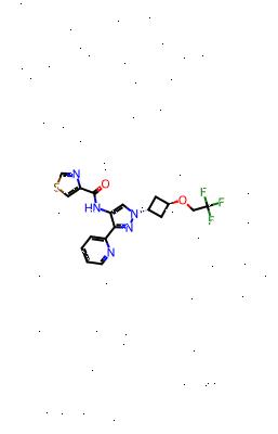 O=C(Nc1cn([C@H]2C[C@H](OCC(F)(F)F)C2)nc1-c1ccccn1)c1cscn1